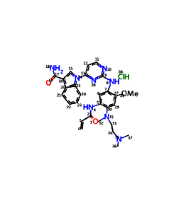 C=CC(=O)Nc1cc(Nc2nccc(-n3cc(C(N)=O)c4ccccc43)n2)c(OC)cc1N(C)CCN(C)C.Cl